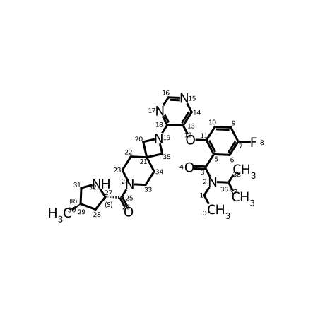 CCN(C(=O)c1cc(F)ccc1Oc1cncnc1N1CC2(CCN(C(=O)[C@@H]3C[C@@H](C)CN3)CC2)C1)C(C)C